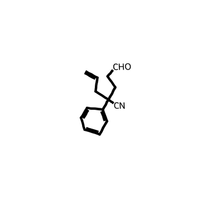 C=CCC(C#N)(CCC=O)c1ccccc1